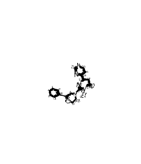 CCn1c(N2C[C@H](c3ccccc3)OC[C@H]2C)nc(-c2ccncn2)cc1=O